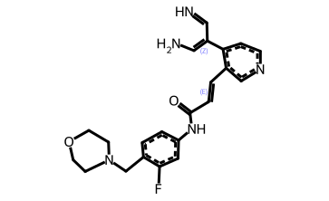 N=C/C(=C\N)c1ccncc1/C=C/C(=O)Nc1ccc(CN2CCOCC2)c(F)c1